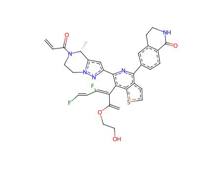 C=CC(=O)N1CCn2nc(-c3nc(-c4ccc5c(c4)CCNC5=O)c4ccsc4c3/C(C(=C)OCCO)=C(F)/C=C/F)cc2[C@H]1C